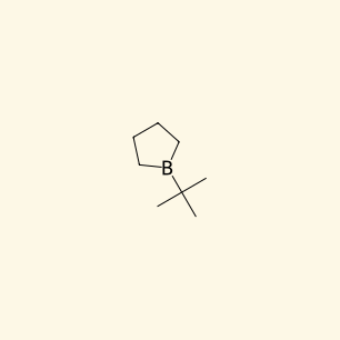 CC(C)(C)B1CCCC1